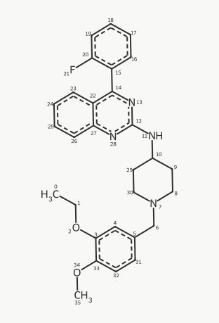 CCOc1cc(CN2CCC(Nc3nc(-c4ccccc4F)c4ccccc4n3)CC2)ccc1OC